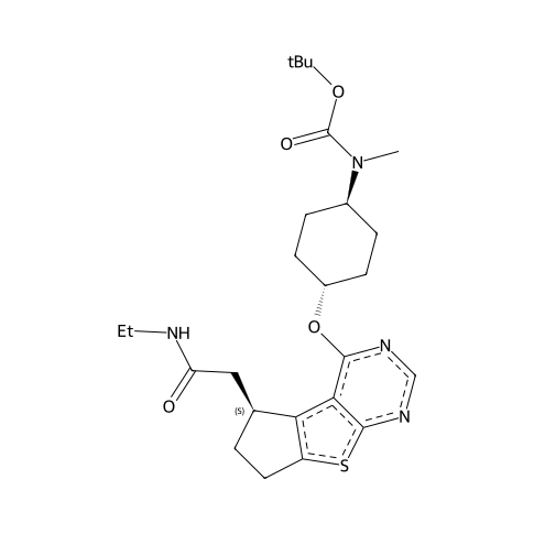 CCNC(=O)C[C@@H]1CCc2sc3ncnc(O[C@H]4CC[C@H](N(C)C(=O)OC(C)(C)C)CC4)c3c21